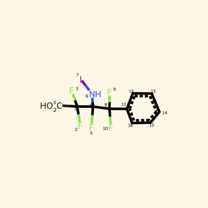 O=C(O)C(F)(F)C(F)(NI)C(F)(F)c1ccccc1